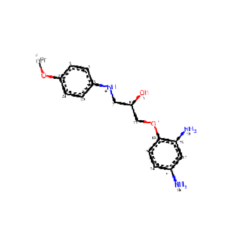 CCCOc1ccc(NCC(O)COc2ccc(N)cc2N)cc1